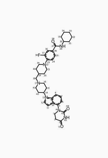 O=C1CCN(c2cccc3c2ccn3C2CCN(CC3CCN(c4ccc(C(=O)NC5CCCCC5)cc4F)CC3)CC2)C(=O)N1